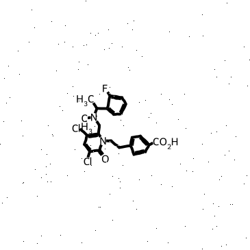 CC(c1ccccc1F)N(C)Cc1c(Cl)cc(Cl)c(=O)n1CCc1ccc(C(=O)O)cc1